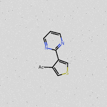 CC(=O)c1cscc1-c1ncccn1